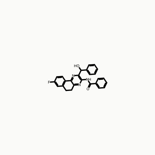 O=C(Nc1nc2c(nc1C(O)c1ccccc1)-c1ccc(F)cc1CC2)c1ccccc1